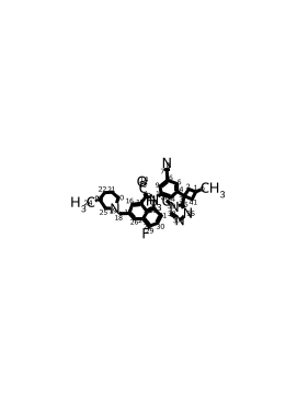 CC1CC(c2cc(C#N)cc(-n3c(=C=O)c4cc(CN5CCC[C@H](C)C5)cc5c(F)ccc3c54)c2)(c2nncn2C)C1